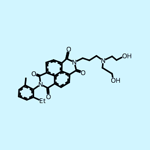 CCc1cccc(C)c1N1C(=O)c2ccc3c4c(ccc(c24)C1=O)C(=O)N(CCCN(CCO)CCO)C3=O